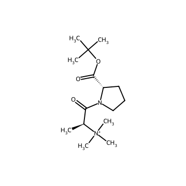 C[C@@H](C(=O)N1CCC[C@H]1C(=O)OC(C)(C)C)[N+](C)(C)C